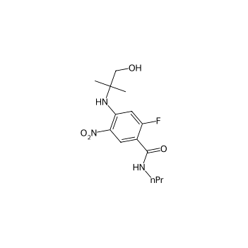 CCCNC(=O)c1cc([N+](=O)[O-])c(NC(C)(C)CO)cc1F